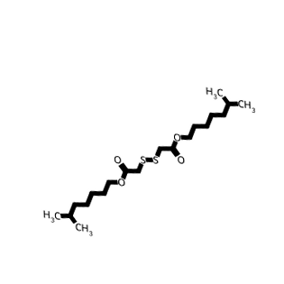 CC(C)CCCCCOC(=O)CSSCC(=O)OCCCCCC(C)C